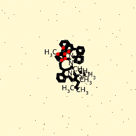 C=C1C2C(CCc3cc(C)c4c(oc5ccccc54)c3-c3n(-c4c(-c5ccccc5)cccc4-c4ccccc4)c4ccccc4[n+]31)c1ccccc1-c1cc(CC(C)C)c([Si](C)(C)C)c[n+]12